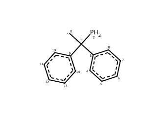 [CH2]C(P)(c1ccccc1)c1ccccc1